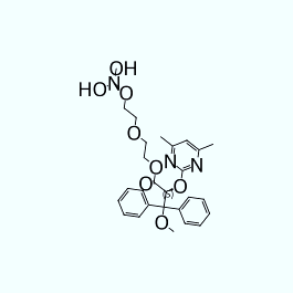 COC(c1ccccc1)(c1ccccc1)[C@H](Oc1nc(C)cc(C)n1)C(=O)OCCOCCON(O)O